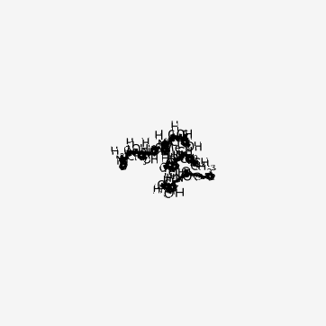 CC(C)(CCn1cnc2ccccc21)NCC(O)c1ccc(O)cc1F.CN(C)c1ccc(CC(C)(C)NCC(O)c2ccc(O)c3c2OCC(=O)N3)cc1.COc1ccc(CNc2cc(C(O)CNC(C)(C)CCn3cnc4ccccc43)ccc2O)cc1.O=c1[nH]c2c(O)ccc(CCNCCS(=O)(=O)CCCOCCc3ccccc3)c2s1